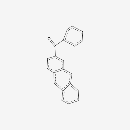 O=C(c1ccccc1)c1ccc2cc3ccccc3cc2c1